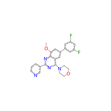 COc1cc(-c2cc(F)cc(F)c2)cc2c(N3CCOCC3)nc(-c3cccnc3)nc12